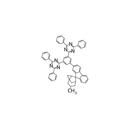 CC1CC2CC3(C1)CC3C21c2ccccc2-c2ccc(-c3cc(-c4nc(-c5ccccc5)nc(-c5ccccc5)n4)cc(-c4nc(-c5ccccc5)nc(-c5ccccc5)n4)c3)cc21